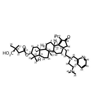 CC(C)C1=C2[C@H]3CC[C@@H]4[C@@]5(C)CC[C@H](OC(=O)CC(C)(C)C(=O)O)C(C)(C)[C@@H]5CC[C@@]4(C)[C@]3(C)CC[C@@]2(CCN(CCN(C)C)Cc2ccccn2)CC1=O